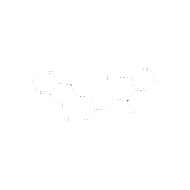 [CH2]C[C](OOC(=O)c1ccccc1C)OOC(=O)c1ccccc1C